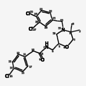 CC1(C)COC(CNC(=O)Cc2ccc(Cl)cc2)CN1Cc1ccc(Cl)c(Cl)c1